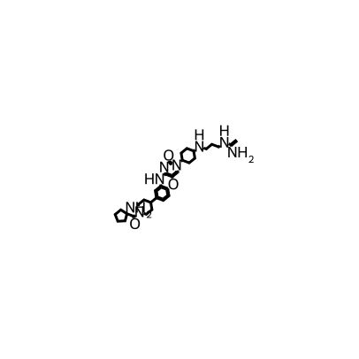 C=C(N)NCCCNC1CCC(n2cc3c(nc2=O)Nc2cc(C4CCN(C(=O)C5(N)CCCC5)CC4)ccc2O3)CC1